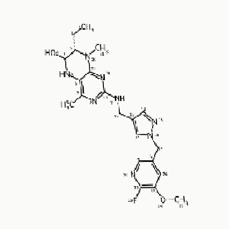 CC[C@H]1C(O)Nc2c(C)nc(NCc3cnn(Cc4cnc(F)c(OC)c4)c3)nc2N1C